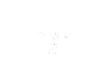 C=CC(=O)N1CCN(c2nc(O[C@H](CC)CN(C)C)nc3c2CCN(c2cccc4ccccc24)C3)CC1